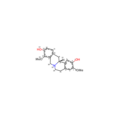 COc1cc2c(cc1O)[C@H]1Cc3ccc(O)c(OC)c3CN1CC2